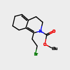 CC(C)(C)OC(=O)N1CCC2=CCCCC2=C1CCBr